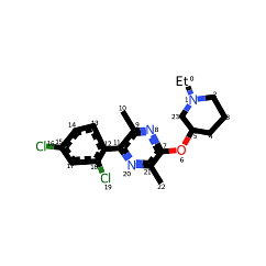 CCN1CCCC(Oc2nc(C)c(-c3ccc(Cl)cc3Cl)nc2C)C1